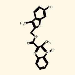 Cc1c(CNC(=O)c2nc3ccccc3[n+]([O-])c2C)oc2cc(O)ccc12